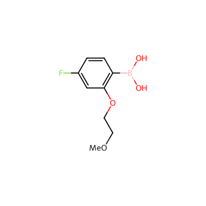 COCCOc1cc(F)ccc1B(O)O